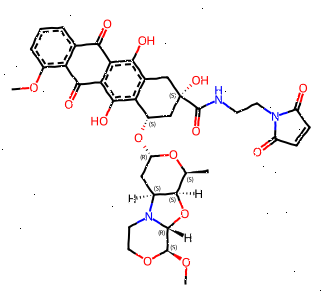 COc1cccc2c1C(=O)c1c(O)c3c(c(O)c1C2=O)C[C@@](O)(C(=O)NCCN1C(=O)C=CC1=O)C[C@@H]3O[C@H]1C[C@H]2[C@H](O[C@@H]3[C@@H](OC)OCCN32)[C@H](C)O1